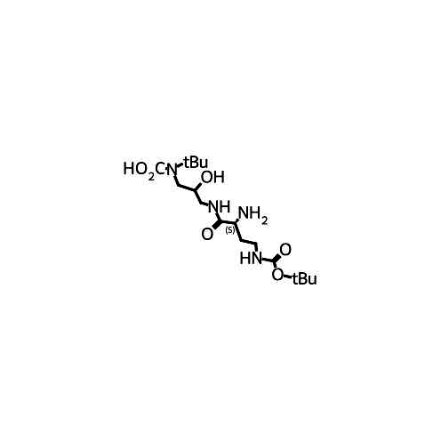 CC(C)(C)OC(=O)NCC[C@H](N)C(=O)NCC(O)CN(C(=O)O)C(C)(C)C